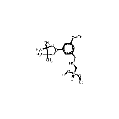 CCOc1cc(CNCP(=O)(OCC)OCC)cc(B2OC(C)(C)C(C)(C)O2)c1